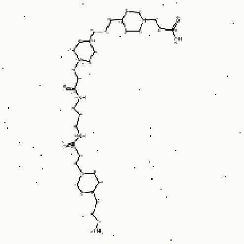 CCCCC1CCN(CCC(=O)NCCCNC(=O)CCN2CCC(CCCC3CCN(CCC(=O)O)CC3)CC2)CC1